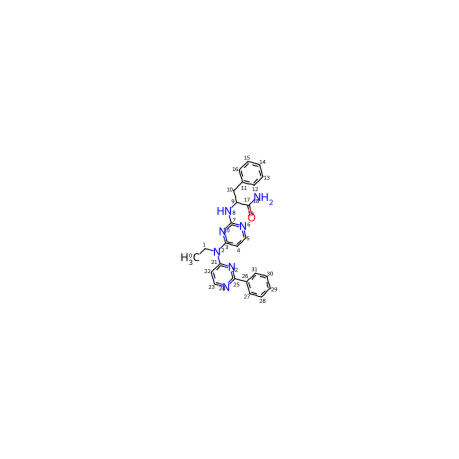 CCN(c1ccnc(NC(Cc2ccccc2)C(N)=O)n1)c1ccnc(-c2ccccc2)n1